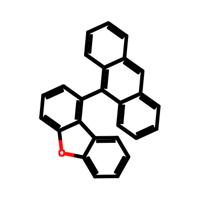 c1ccc2c(-c3cccc4oc5ccccc5c34)c3ccccc3cc2c1